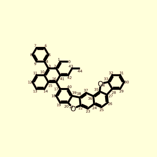 C/C=c1/c(-c2ccccc2)c2ccccc2c(-c2ccc3oc4cc5ccc6c7ccccc7oc6c5cc4c3c2)/c1=C/CC